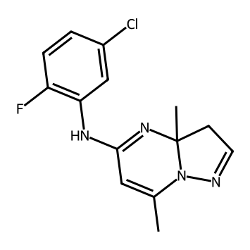 CC1=CC(Nc2cc(Cl)ccc2F)=NC2(C)CC=NN12